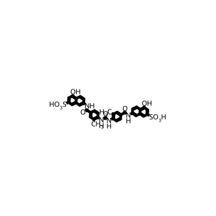 Cc1cc(C(=O)Nc2ccc3c(O)cc(S(=O)(=O)O)cc3c2)ccc1NC(=O)Nc1ccc(C(=O)Nc2ccc3c(O)cc(S(=O)(=O)O)cc3c2)cc1C